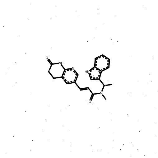 CC(c1c[nH]c2ccccc12)N(C)C(=O)/C=C/c1cnc2c(c1)CCC(=O)N2